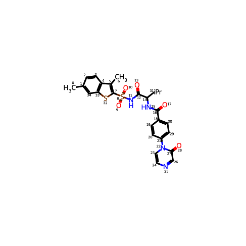 Cc1ccc2c(C)c(S(=O)(=O)NC(=O)C(NC(=O)c3ccc(-n4ccncc4=O)cc3)C(C)C)sc2c1